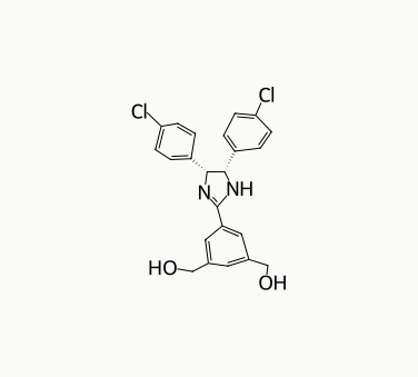 OCc1cc(CO)cc(C2=N[C@H](c3ccc(Cl)cc3)[C@H](c3ccc(Cl)cc3)N2)c1